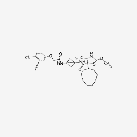 COC1NC(C)C(C(=O)NC23CC(NC(=O)COc4ccc(Cl)c(F)c4)(C2)C3)(C2CCCCCCCC2)S1